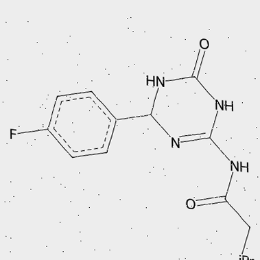 CC(C)CC(=O)NC1=NC(c2ccc(F)cc2)NC(=O)N1